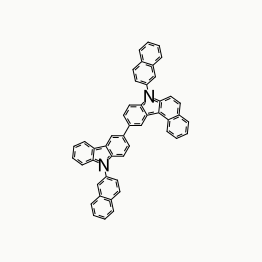 c1ccc2cc(-n3c4ccccc4c4cc(-c5ccc6c(c5)c5c7ccccc7ccc5n6-c5ccc6ccccc6c5)ccc43)ccc2c1